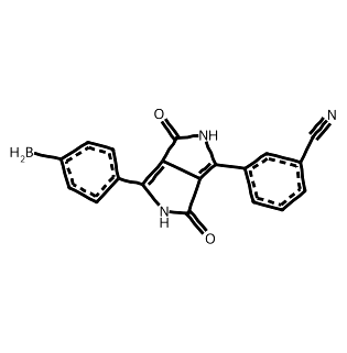 Bc1ccc(C2=C3C(=O)NC(c4cccc(C#N)c4)=C3C(=O)N2)cc1